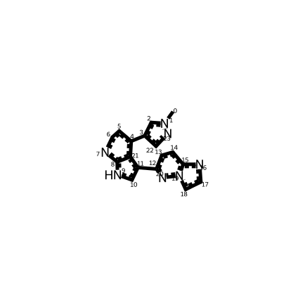 Cn1cc(-c2ccnc3[nH]cc(-c4ccc5nccn5n4)c23)cn1